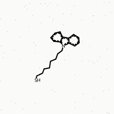 SCCCCCCCCn1c2ccccc2c2ccccc21